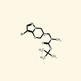 CN(C[C@H]1COc2c(Br)cnn2C1)C(=O)OC(C)(C)C